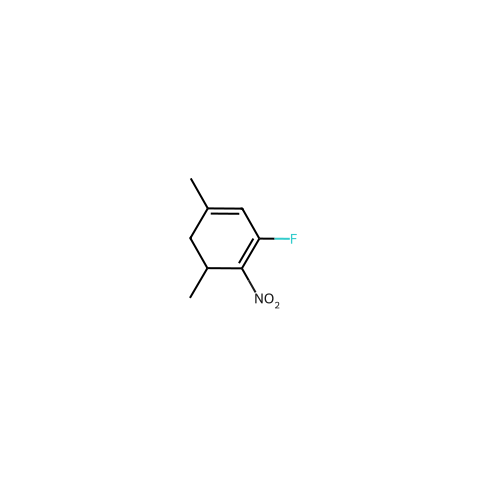 CC1=CC(F)=C([N+](=O)[O-])C(C)C1